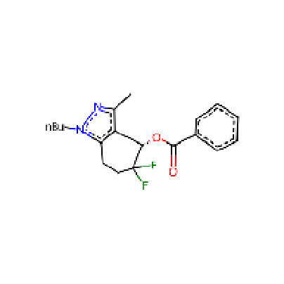 CCCCn1nc(C)c2c1CCC(F)(F)[C@H]2OC(=O)c1ccccc1